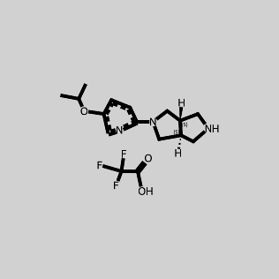 CC(C)Oc1ccc(N2C[C@@H]3CNC[C@H]3C2)nc1.O=C(O)C(F)(F)F